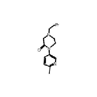 Cc1ccc(N2CCN(CC(C)C)CC2=O)cn1